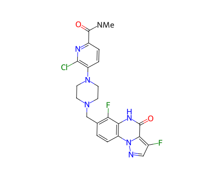 CNC(=O)c1ccc(N2CCN(Cc3ccc4c([nH]c(=O)c5c(F)cnn54)c3F)CC2)c(Cl)n1